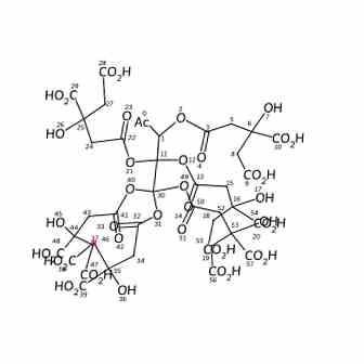 CC(=O)C(OC(=O)CC(O)(CC(=O)O)C(=O)O)C(OC(=O)CC(O)(CC(=O)O)C(=O)O)(OC(=O)CC(O)(CC(=O)O)C(=O)O)C(OC(=O)CC(O)(CC(=O)O)C(=O)O)(OC(=O)CC(O)(CC(=O)O)C(=O)O)OC(=O)CC(O)(CC(=O)O)C(=O)O